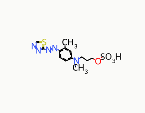 Cc1cc(N(C)CCCOS(=O)(=O)O)ccc1/N=N/c1nncs1